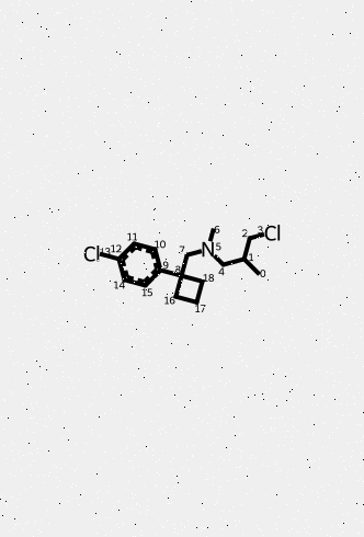 CC(CCl)CN(C)CC1(c2ccc(Cl)cc2)CCC1